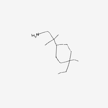 CCC1(C)CCC(C(C)(C)CN)CC1